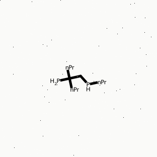 CCCPCC(P)(CCC)CCC